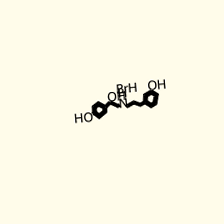 Br.Oc1ccc(C(O)CNCCCc2cccc(O)c2)cc1